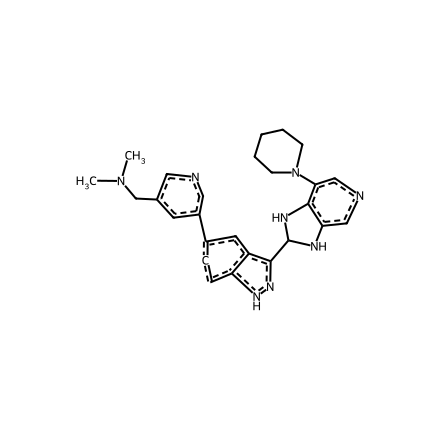 CN(C)Cc1cncc(-c2ccc3[nH]nc(C4Nc5cncc(N6CCCCC6)c5N4)c3c2)c1